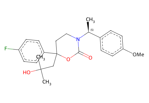 COc1ccc([C@H](C)N2CCC(CC(C)(C)O)(c3ccc(F)cc3)OC2=O)cc1